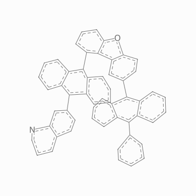 c1ccc(-c2c3ccccc3c(-c3ccc4oc5cccc(-c6c7ccccc7c(-c7ccc8cccnc8c7)c7ccccc67)c5c4c3)c3ccccc23)cc1